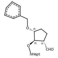 CCCCCCCO[C@@H]1[C@@H](C=O)CC[C@H]1OCc1ccccc1